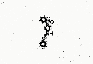 O=c1oc2ccccc2n1C1CCC(NCCSc2ccccc2)CC1